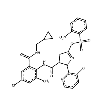 Cc1cc(Cl)cc(C(=O)NCC2CC2)c1NC(=O)C1CC(OS(=O)(=O)c2ccccc2[N+](=O)[O-])=NN1c1ncccc1Cl